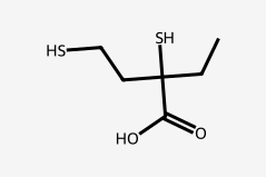 CCC(S)(CCS)C(=O)O